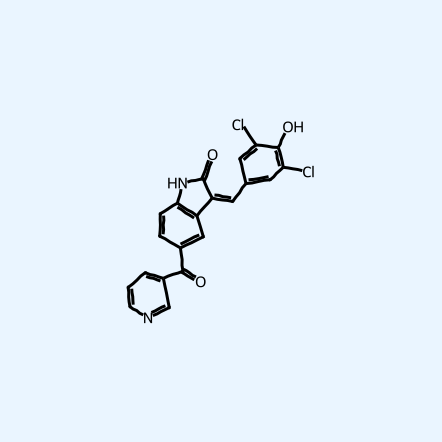 O=C1Nc2ccc(C(=O)c3cccnc3)cc2C1=Cc1cc(Cl)c(O)c(Cl)c1